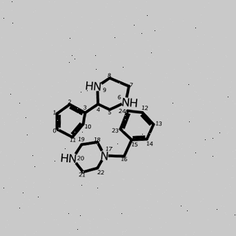 c1ccc(C2CNCCN2)cc1.c1ccc(CN2CCNCC2)cc1